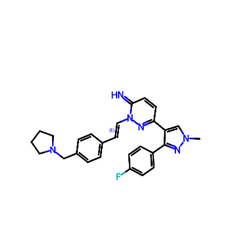 Cn1cc(-c2ccc(=N)n(/C=C/c3ccc(CN4CCCC4)cc3)n2)c(-c2ccc(F)cc2)n1